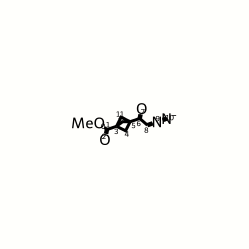 COC(=O)C12CC(C(=O)C=[N+]=[N-])(C1)C2